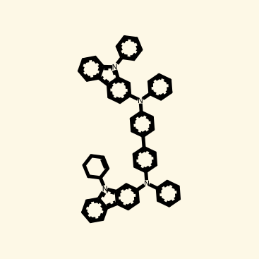 C1=CC(n2c3ccccc3c3ccc(N(c4ccccc4)c4ccc(-c5ccc(N(c6ccccc6)c6ccc7c8ccccc8n(-c8ccccc8)c7c6)cc5)cc4)cc32)CCC1